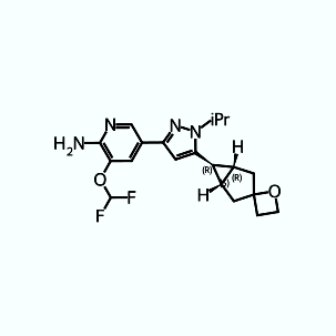 CC(C)n1nc(-c2cnc(N)c(OC(F)F)c2)cc1[C@H]1[C@@H]2CC3(CCO3)C[C@@H]21